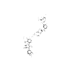 CCc1c(OCCN2C[C@@H](C)N(CC(=O)Nc3cccc(NC4CCC(=O)NC4=O)c3)[C@@H](C)C2)ccc(N2C(=S)N(c3ccc(C#N)c(C(F)(F)F)c3)C(=O)C2(C)C)c1F